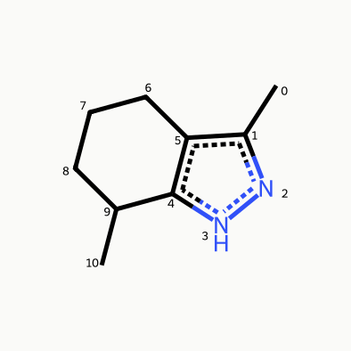 Cc1n[nH]c2c1CCCC2C